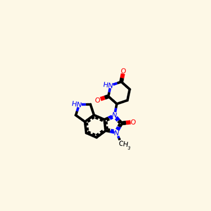 Cn1c(=O)n(C2CCC(=O)NC2=O)c2c3c(ccc21)CNC3